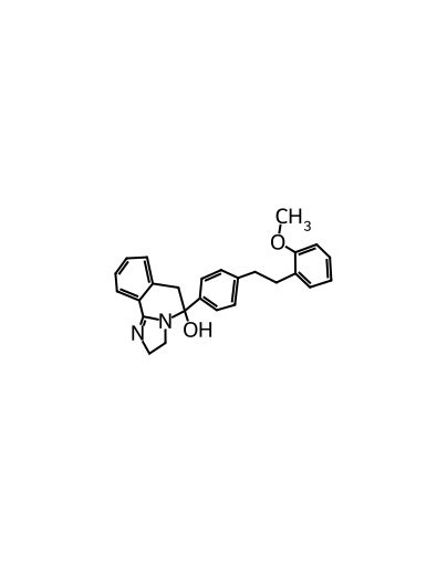 COc1ccccc1CCc1ccc(C2(O)Cc3ccccc3C3=NCCN32)cc1